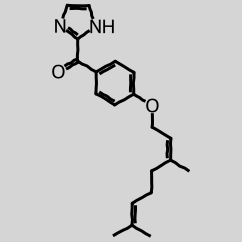 CC(C)=CCCC(C)=CCOc1ccc(C(=O)c2ncc[nH]2)cc1